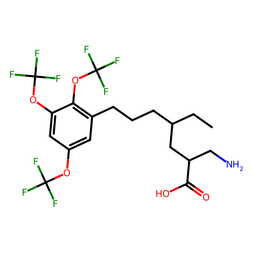 CCC(CCCc1cc(OC(F)(F)F)cc(OC(F)(F)F)c1OC(F)(F)F)CC(CN)C(=O)O